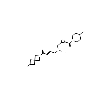 CC1CC2(C1)CN(C(=O)/C=C/CN(C)CC1OC1C(=O)N1CCC(C(C)C)CC1)C2